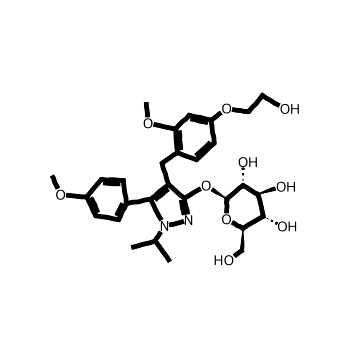 COc1ccc(-c2c(Cc3ccc(OCCO)cc3OC)c(O[C@@H]3O[C@H](CO)[C@@H](O)[C@H](O)[C@H]3O)nn2C(C)C)cc1